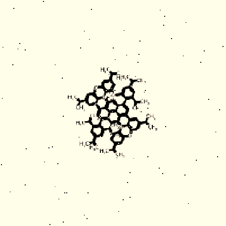 CC(C)c1ccc2c(c1)Oc1cc(C(C)C)cc3c1B2c1cc2c(-c4c(C(C)C)cc(C(C)C)cc4C(C)C)cc4c5c(cc6c(-c7c(C(C)C)cc(C(C)C)cc7C(C)C)cc-3c1c6c25)B1c2ccc(C(C)C)cc2Oc2cc(C(C)C)cc-4c21